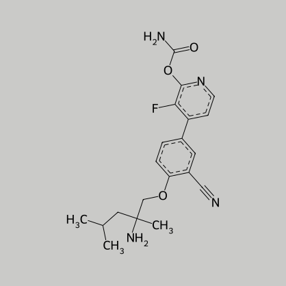 CC(C)CC(C)(N)COc1ccc(-c2ccnc(OC(N)=O)c2F)cc1C#N